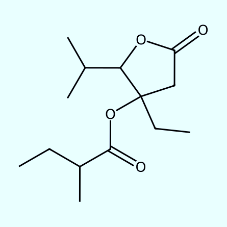 CCC(C)C(=O)OC1(CC)CC(=O)OC1C(C)C